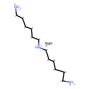 NCCCCCCNCCCCCCN.[NaH]